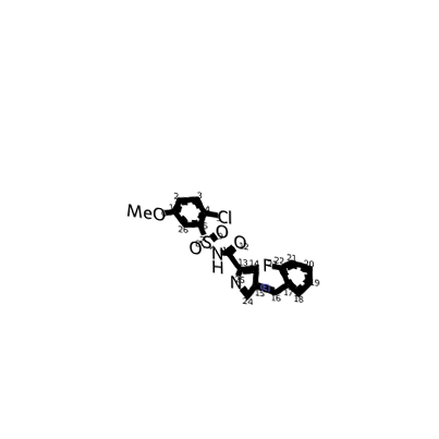 COc1ccc(Cl)c(S(=O)(=O)NC(=O)C2=C/C(=C\c3ccccc3F)C=N2)c1